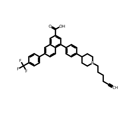 C#CCCCCN1CCC(c2ccc(-c3cc(C(=O)O)cc4cc(-c5ccc(C(F)(F)F)cc5)ccc34)cc2)CC1